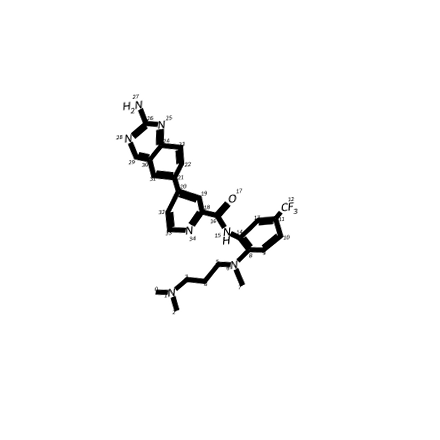 CN(C)CCCN(C)c1ccc(C(F)(F)F)cc1NC(=O)c1cc(-c2ccc3nc(N)ncc3c2)ccn1